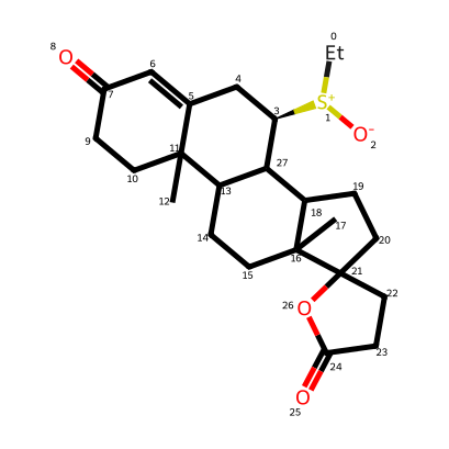 CC[S+]([O-])[C@@H]1CC2=CC(=O)CCC2(C)C2CCC3(C)C(CCC34CCC(=O)O4)C21